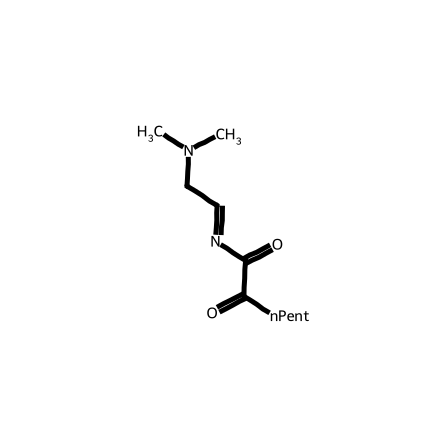 CCCCCC(=O)C(=O)N=CCN(C)C